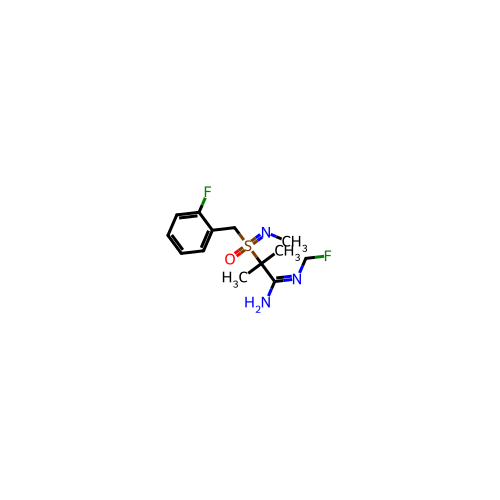 CN=S(=O)(Cc1ccccc1F)C(C)(C)/C(N)=N\CF